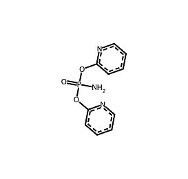 NP(=O)(Oc1ccccn1)Oc1ccccn1